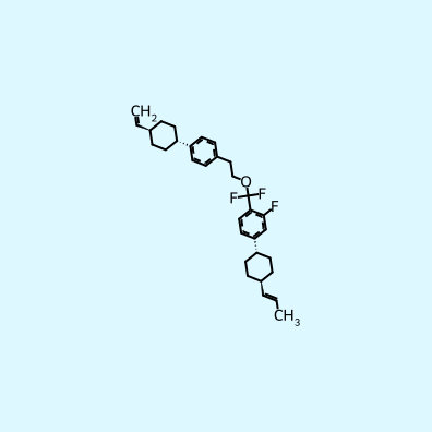 C=C[C@H]1CC[C@H](c2ccc(CCOC(F)(F)c3ccc([C@H]4CC[C@H](/C=C/C)CC4)cc3F)cc2)CC1